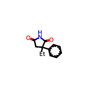 CCC1(c2ccccc2)CC(=O)NC1=O